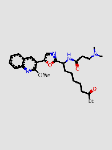 CCC(=O)CCCCCC(NC(=O)CCN(C)C)c1ncc(-c2cc3ccccc3nc2OC)o1